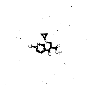 O=C(O)C1CN(C2CC2)c2nc(Cl)ccc2C1=O